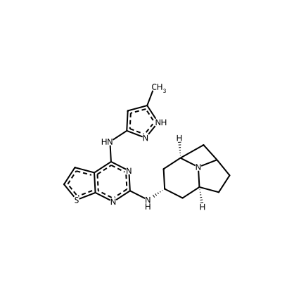 Cc1cc(Nc2nc(N[C@@H]3C[C@H]4CC5CC[C@@H](C3)N54)nc3sccc23)n[nH]1